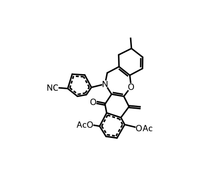 C=C1C2=C(C(=O)c3c(OC(C)=O)ccc(OC(C)=O)c31)N(c1ccc(C#N)cc1)CC1=C(C=CC(C)C1)O2